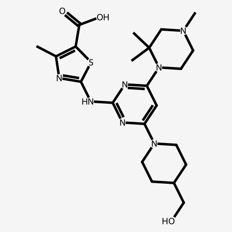 Cc1nc(Nc2nc(N3CCC(CO)CC3)cc(N3CCN(C)CC3(C)C)n2)sc1C(=O)O